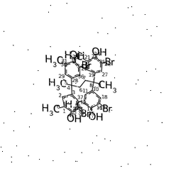 Cc1cc(C(C)(CCC(C)(c2cc(C)c(O)c(Br)c2)c2cc(C)c(O)c(Br)c2)c2cc(C)c(O)c(Br)c2)cc(Br)c1O